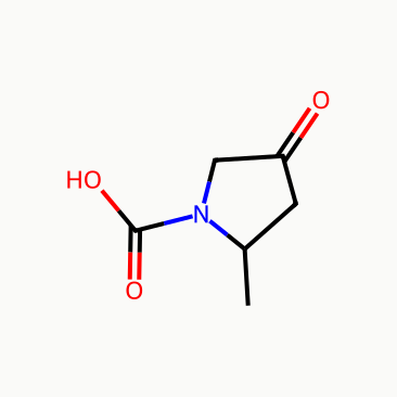 CC1CC(=O)CN1C(=O)O